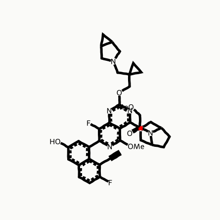 C#Cc1c(F)ccc2cc(O)cc(-c3nc(OC)c4c(N5CC6CCC(C5)N6C(=O)COC)nc(OCC5(CN6CC7CC7C6)CC5)nc4c3F)c12